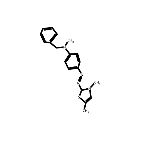 CC1=CN(C)C(N=Nc2ccc(N(C)Cc3ccccc3)cc2)S1